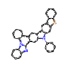 c1ccc(-n2c3cc4sc5ccccc5c4cc3c3cc4c5ccccc5n5c6ccccc6nc5c4cc32)cc1